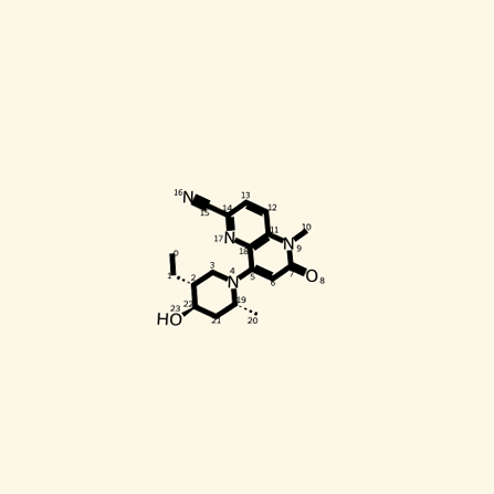 CC[C@@H]1CN(c2cc(=O)n(C)c3ccc(C#N)nc23)[C@H](C)C[C@H]1O